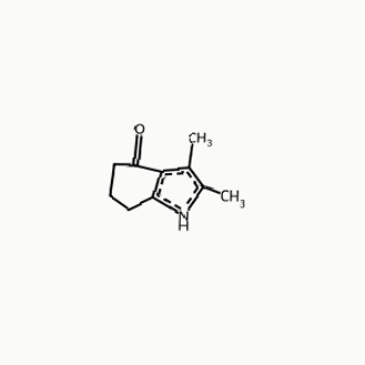 Cc1[nH]c2c(c1C)C(=O)CCC2